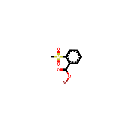 CS(=O)(=O)c1ccccc1C(=O)OBr